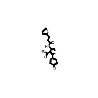 O=C(CCc1ccco1)Nc1csc(-c2ccc(Cl)cc2)c1C(=O)O